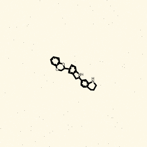 c1ccc2c(c1)OCC(c1ccc3c(c1)CC(c1ccc4c(c1)NCCC4)N3)O2